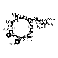 C=C(NC(=O)c1csc(-c2ccc3c(n2)-c2csc(n2)-c2csc(n2)[C@H]([C@@H](C)[C@@H]2CO2)NC(=O)[C@H](Cc2ccc(OC(C)=O)cc2)NC(=O)c2csc(n2)[C@H]([C@H](OC(C)=O)c2ccccc2)NC(=O)c2nc(sc2C)[C@H](CC(N)=O)NC(=O)c2csc-3n2)n1)C(=O)NC(=C)C(=O)OC